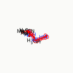 COc1c(C)cc2c(c1O)[C@@H]1[C@@H]3[C@@H]4SC[C@]5(N[C@@H](CNC(=O)OCc6ccc(NC(=O)[C@H](C)NC(=O)[C@@H](NC(=O)CCOCCOCCOCCOCCNC(=O)CCN7C(=O)C=CC7=O)C(C)C)cc6)Cc6c5[nH]c5ccccc65)C(=O)OCC(c5c6c(c(C)c(OC(C)=O)c54)OCO6)N3C(C#N)(C2)CN1C